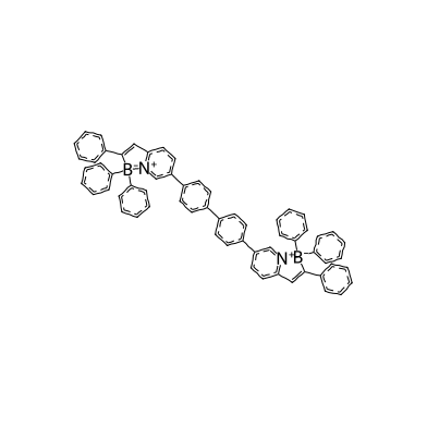 C1=C(c2ccccc2)[B-](c2ccccc2)(c2ccccc2)[n+]2cc(-c3ccc(-c4ccc(-c5ccc6[n+](c5)[B-](c5ccccc5)(c5ccccc5)C(c5ccccc5)=C6)cc4)cc3)ccc21